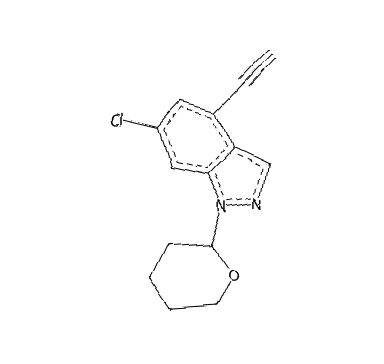 C#Cc1cc(Cl)cc2c1cnn2C1CCCCO1